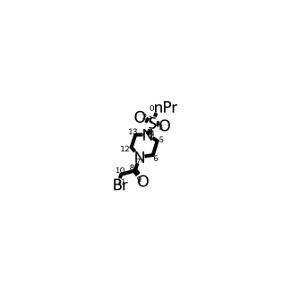 CCCS(=O)(=O)N1CCN(C(=O)CBr)CC1